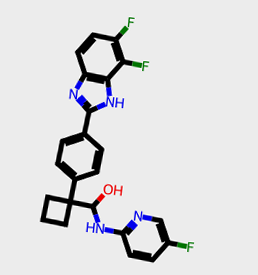 OC(Nc1ccc(F)cn1)C1(c2ccc(-c3nc4ccc(F)c(F)c4[nH]3)cc2)CCC1